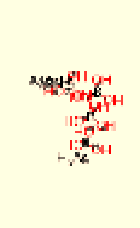 OB(O)O.OB(O)O.OB(O)O.OB(O)O.[AsH3].[AsH3].[AsH3].[AsH3]